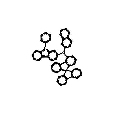 c1ccc(-n2c3ccccc3c3ccc(N(c4ccc5ccccc5c4)c4cccc5c4-c4ccccc4C54c5ccccc5-c5ccccc54)cc32)cc1